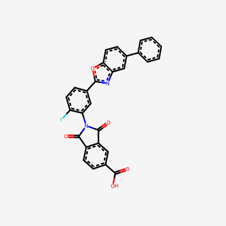 O=C(O)c1ccc2c(c1)C(=O)N(c1cc(-c3nc4cc(-c5ccccc5)ccc4o3)ccc1F)C2=O